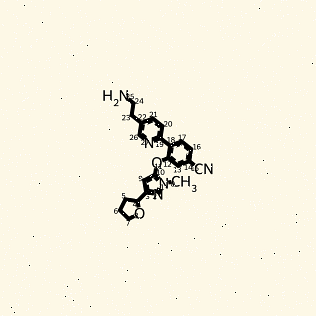 Cn1nc(C2CCCO2)cc1Oc1cc(C#N)ccc1-c1ccc(CCN)cn1